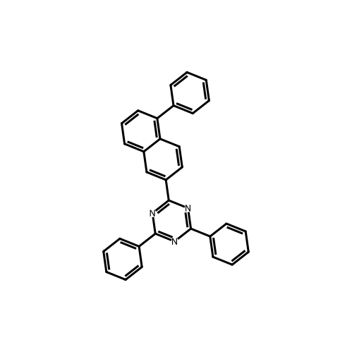 c1ccc(-c2nc(-c3ccccc3)nc(-c3ccc4c(-c5ccccc5)cccc4c3)n2)cc1